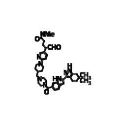 CNC(=O)CCC(C=O)c1ccc(N2CCC(CN3CCN(C(=O)c4ccc5cc(-c6n[nH]c7c6CCC(C)(C)C7)[nH]c5c4)CC3)CC2)nc1